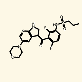 CCCS(=O)(=O)Nc1ccc(F)c(C(=O)C2CNc3ncc(N4CCOCC4)cc32)c1F